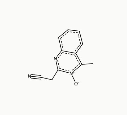 Cc1c2ccccc2nc(CC#N)[n+]1[O-]